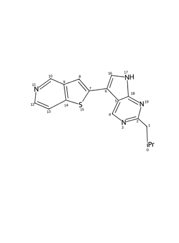 CC(C)Cc1ncc2c(-c3cc4cnccc4s3)c[nH]c2n1